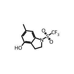 Cc1cc(O)c2c(c1)N(S(=O)(=O)C(F)(F)F)CC2